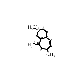 CC1C=CC2CCN(C)CC2C(C)C1